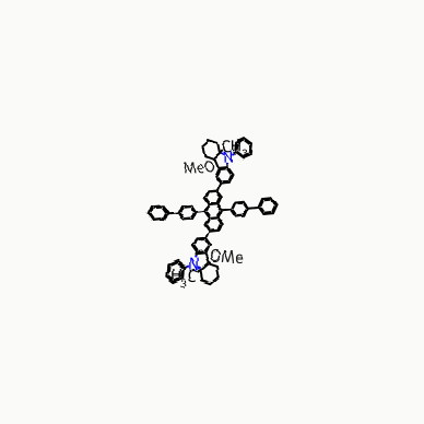 COC12CCCCC1(C)N(c1ccccc1)c1ccc(-c3ccc4c(-c5ccc(-c6ccccc6)cc5)c5cc(-c6ccc7c(c6)C6(OC)CCCCC6(C)N7c6ccccc6)ccc5c(-c5ccc(-c6ccccc6)cc5)c4c3)cc12